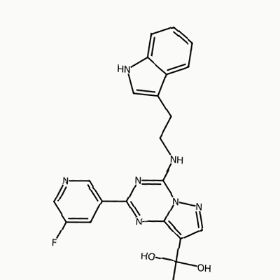 CC(O)(O)c1cnn2c(NCCc3c[nH]c4ccccc34)nc(-c3cncc(F)c3)nc12